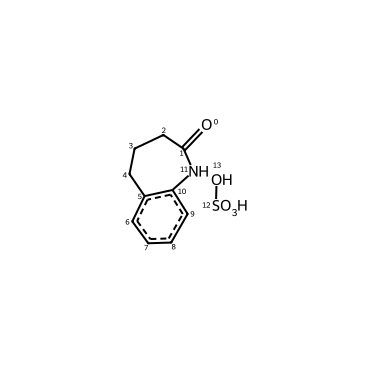 O=C1CCCc2ccccc2N1.O=S(=O)(O)O